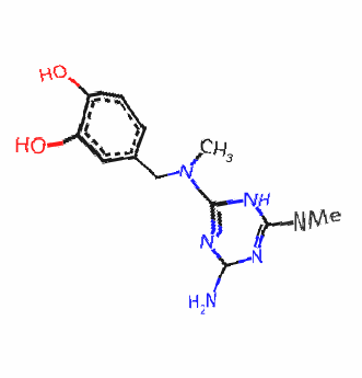 CNC1=NC(N)N=C(N(C)Cc2ccc(O)c(O)c2)N1